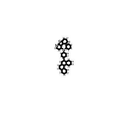 c1ccc(N(c2ccc(-c3cc4ccc5ccccc5c4c4ccccc34)cc2)c2ccnc3sc4ccccc4c23)cc1